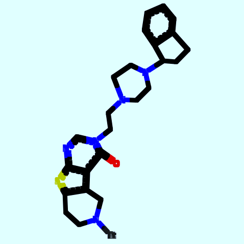 CCN1CCc2sc3ncn(CCN4CCN(C5CCc6ccccc65)CC4)c(=O)c3c2C1